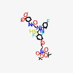 COc1ccc(N(C)C(=O)CN/C(=N\c2ccc(F)cc2)C(S)c2c(F)cc(OCCCN(C(=O)OC(C)(C)C)C(=O)OC(C)(C)C)cc2F)cc1OC